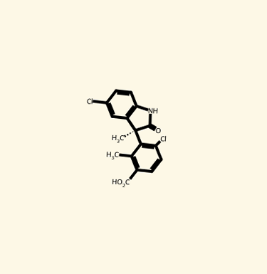 Cc1c(C(=O)O)ccc(Cl)c1[C@]1(C)C(=O)Nc2ccc(Cl)cc21